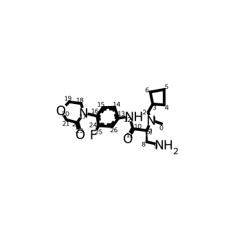 CN(CC1CCC1)[C@@H](CN)C(=O)Nc1ccc(N2CCOCC2=O)c(F)c1